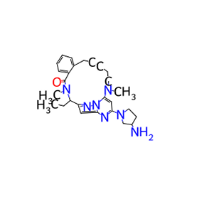 CCC1c2cc3nc(N4CCC(N)C4)cc(n3n2)N(C)CCCCCc2ccccc2C(=O)N1C